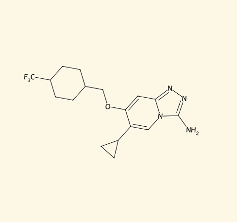 Nc1nnc2cc(OCC3CCC(C(F)(F)F)CC3)c(C3CC3)cn12